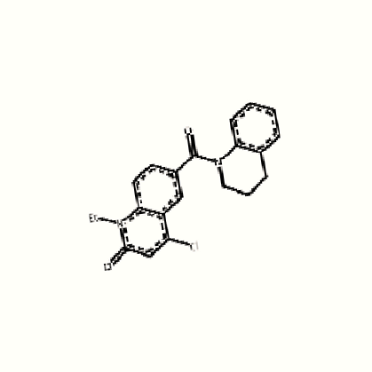 CCn1c(=O)cc(Cl)c2cc(C(=O)N3CCCc4ccccc43)ccc21